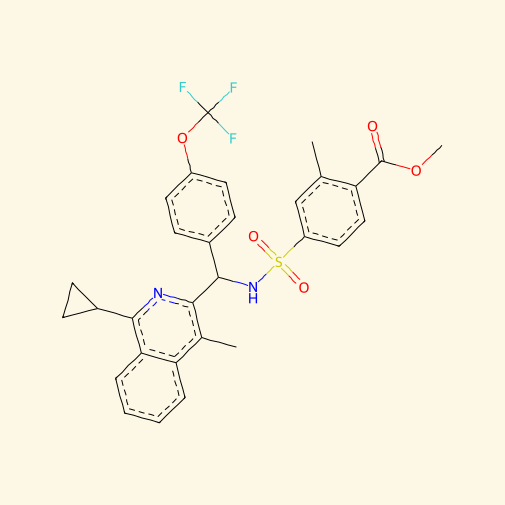 COC(=O)c1ccc(S(=O)(=O)NC(c2ccc(OC(F)(F)F)cc2)c2nc(C3CC3)c3ccccc3c2C)cc1C